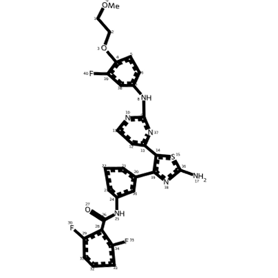 COCCOc1ccc(Nc2nccc(-c3sc(N)nc3-c3cccc(NC(=O)c4c(F)cccc4F)c3)n2)cc1F